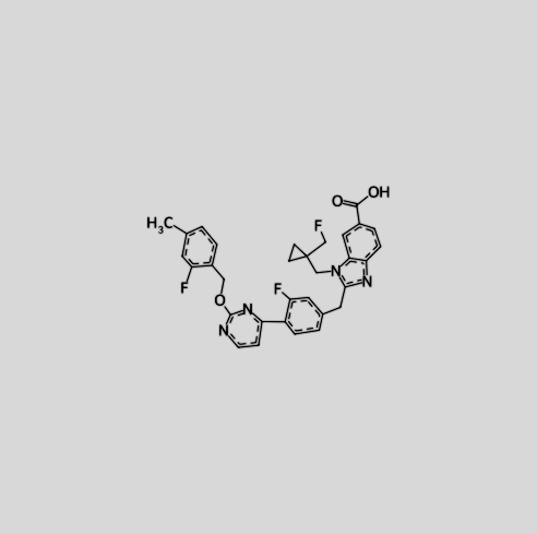 Cc1ccc(COc2nccc(-c3ccc(Cc4nc5ccc(C(=O)O)cc5n4CC4(CF)CC4)cc3F)n2)c(F)c1